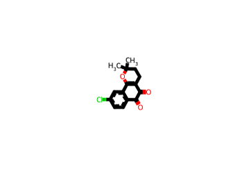 CC1(C)CCC2=C(O1)c1cc(Cl)ccc1C(=O)C2=O